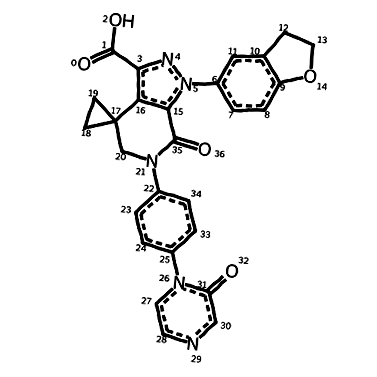 O=C(O)c1nn(-c2ccc3c(c2)CCO3)c2c1C1(CC1)CN(c1ccc(-n3ccncc3=O)cc1)C2=O